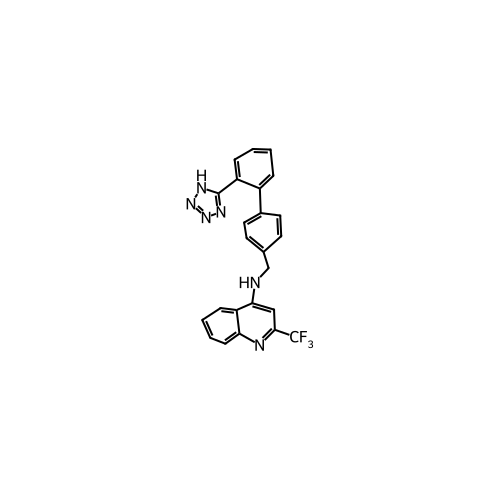 FC(F)(F)c1cc(NCc2ccc(-c3ccccc3-c3nnn[nH]3)cc2)c2ccccc2n1